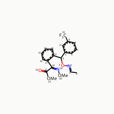 CC=NOC(c1cccc(C(F)(F)F)c1)c1ccccc1C(=NOC)C(=O)OC